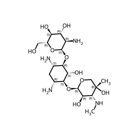 CN[C@@H]1[C@@H](O)[C@@H](O[C@@H]2[C@@H](O)[C@H](O[C@H]3O[C@H](CO)[C@@H](O)[C@H](O)[C@H]3N)[C@@H](N)C[C@H]2N)OC[C@]1(C)O